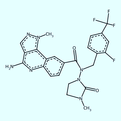 CN1CCN(N(Cc2ccc(C(F)(F)F)cc2F)C(=O)c2ccc3nc(N)c4cnn(C)c4c3c2)C1=O